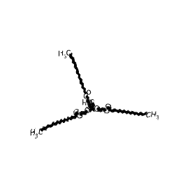 CCCCCCCCCCCCCCCCCC(=O)OCCOCC(CC)(COCCOC(=O)CCCCCCCCCCCCCCCCC)COCCOC(=O)CCCCCCCCCCCCCCCCC